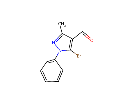 Cc1nn(-c2ccccc2)c(Br)c1C=O